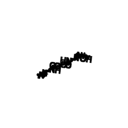 CC(C)CC(O)C[n+]1ccn(CCCNC(=O)COCCOCC(=O)NCCCn2cc[n+](C(C)C)c2)c1